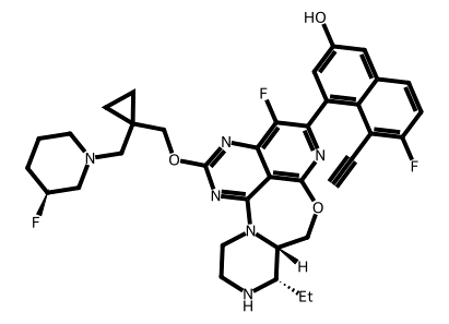 C#Cc1c(F)ccc2cc(O)cc(-c3nc4c5c(nc(OCC6(CN7CCC[C@H](F)C7)CC6)nc5c3F)N3CCN[C@@H](CC)[C@H]3CO4)c12